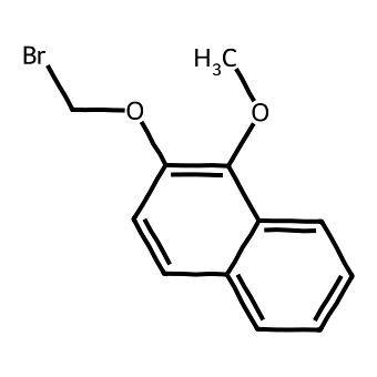 COc1c(OCBr)ccc2ccccc12